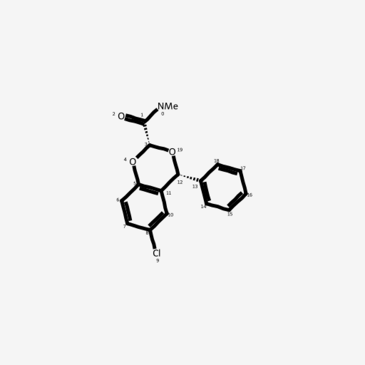 CNC(=O)[C@H]1Oc2ccc(Cl)cc2[C@@H](c2ccccc2)O1